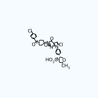 C[C@@H]1CN(C(=O)O)[C@H](c2ccc(-n3c(Cl)cc4c(=O)n(CC5(O)CCN(C(=O)c6ccc(Cl)cc6)CC5)cnc43)cc2)CO1